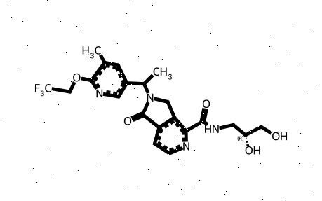 Cc1cc(C(C)N2Cc3c(ccnc3C(=O)NC[C@@H](O)CO)C2=O)cnc1OCC(F)(F)F